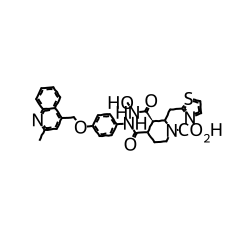 Cc1cc(COc2ccc(NC(=O)C3CCN(C(=O)O)C(Cc4nccs4)[C@@H]3C(=O)NO)cc2)c2ccccc2n1